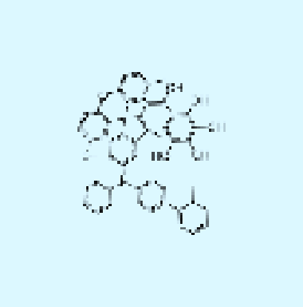 CC1=C(/C=C(/O)c2cc(O)c(O)c(O)c2O)C2(c3cc(C)ccc3Oc3ccc(O)cc32)c2ccc(N(c3ccccc3)c3ccc(C4=CC=CCC4C)cc3)cc21